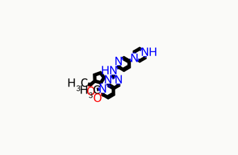 CC(=O)C1CCCC1[N+]1(C)C(=O)C=Cc2cnc(Nc3ccc(N4CCNCC4)cn3)nc21